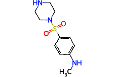 CNc1ccc(S(=O)(=O)N2CCNCC2)cc1